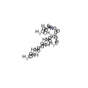 C=C(C)C(=O)OCCN(C)/N=N/c1cccc(C(=O)OCC(COCCOC)COCCOC(=O)NC2CCC(NC(=O)OCCOC(=O)NC3CCC(NC(=O)OC)CC3)CC2)c1